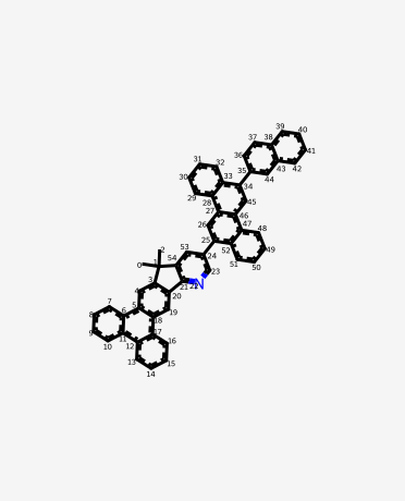 CC1(C)c2cc3c4ccccc4c4ccccc4c3cc2-c2ncc(-c3cc4c5ccccc5c(-c5ccc6ccccc6c5)cc4c4ccccc34)cc21